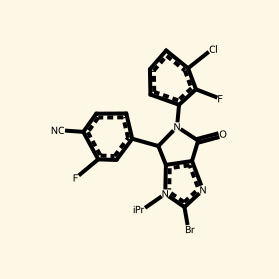 CC(C)n1c(Br)nc2c1C(c1ccc(C#N)c(F)c1)N(c1cccc(Cl)c1F)C2=O